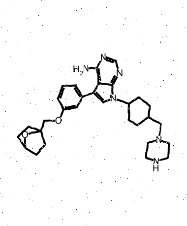 Nc1ncnc2c1c(-c1cccc(OCC34CCC(CC3)O4)c1)cn2C1CCC(CN2CCNCC2)CC1